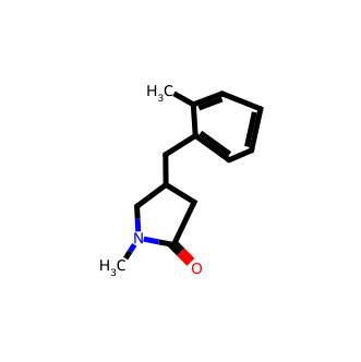 Cc1ccccc1CC1CC(=O)N(C)C1